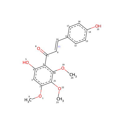 COc1cc(O)c(C(=O)/C=C/c2ccc(O)cc2)c(OC)c1OC